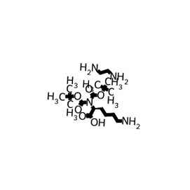 CC(C)(C)OC(=O)N(C(=O)OC(C)(C)C)[C@@H](CCCCN)C(=O)O.NCCN